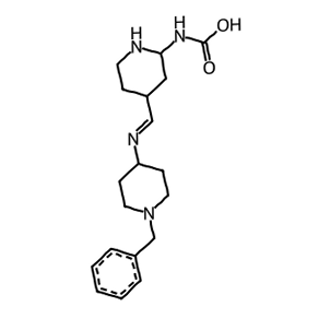 O=C(O)NC1CC(C=NC2CCN(Cc3ccccc3)CC2)CCN1